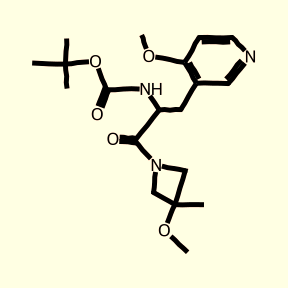 COc1ccncc1CC(NC(=O)OC(C)(C)C)C(=O)N1CC(C)(OC)C1